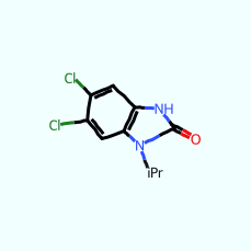 CC(C)n1c(=O)[nH]c2cc(Cl)c(Cl)cc21